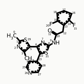 Cc1nc(C)c(-c2nc(NC(=O)Cc3c(F)cccc3F)sc2-c2ccncc2)s1